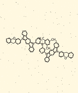 Cc1cc(C)c(B(c2cccc(-n3c4ccccc4c4cc5c(cc43)c3ccccc3n5-c3ccc4c(c3)Cc3ccccc3O4)c2)c2cccc(-n3c4ccccc4c4cc5c(cc43)c3ccccc3n5-c3ccc4c(c3)Oc3ccccc3C4)c2)c(C)c1